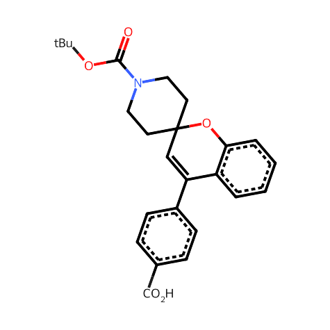 CC(C)(C)OC(=O)N1CCC2(C=C(c3ccc(C(=O)O)cc3)c3ccccc3O2)CC1